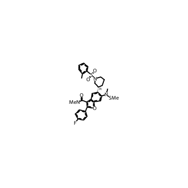 CNC(=O)c1c(-c2ccc(F)cc2)oc2cc(N(C)SC)c([C@H]3CCCN(S(=O)(=O)c4ccccc4C)C3)cc12